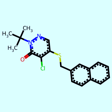 CC(C)(C)n1ncc(SCc2ccc3ccccc3c2)c(Cl)c1=O